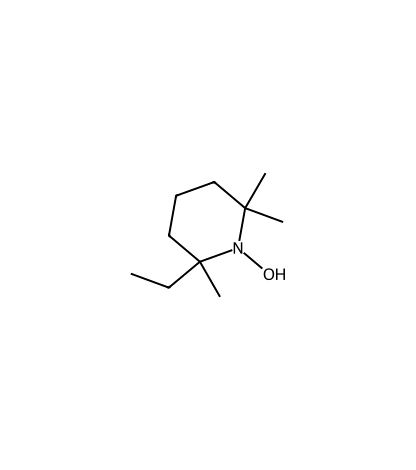 CCC1(C)CCCC(C)(C)N1O